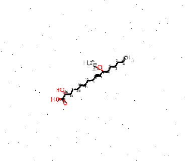 CCCCCCC(C=CCCCCCCCC(O)C(=O)O)OCC